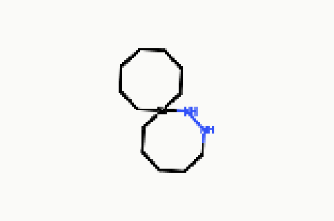 C1CC[CH2][Sn]2([CH2]CC1)[CH2]CCCCN[NH]2